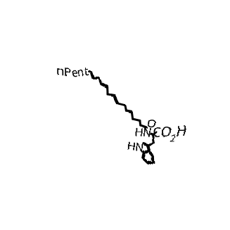 CCCCCC=CCC=CCC=CCC=CCCCC(=O)NC(Cc1c[nH]c2ccccc12)C(=O)O